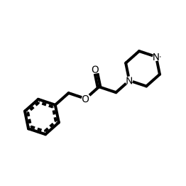 O=C(CN1CC[N]CC1)OCc1ccccc1